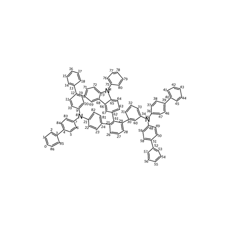 c1ccc(-c2ccc(N(c3ccc(-c4ccccc4)cc3)c3ccc(-c4cccc(-c5cccc(N(c6ccc(-c7ccccc7)cc6)c6ccc(-c7ccccc7)cc6)c5)c4-c4ccc5c(c4)c4ccccc4n5-c4ccccc4)cc3)cc2)cc1